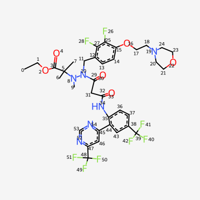 CCOC(=O)C(C)(C)N(C)N(Cc1ccc(OCCN2CCOCC2)c(F)c1F)C(=O)CC(=O)Nc1ccc(C(F)(F)F)cc1-c1cc(C(F)(F)F)ncn1